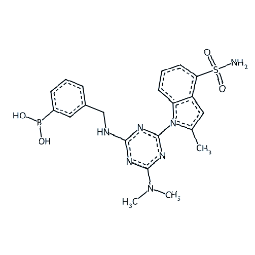 Cc1cc2c(S(N)(=O)=O)cccc2n1-c1nc(NCc2cccc(B(O)O)c2)nc(N(C)C)n1